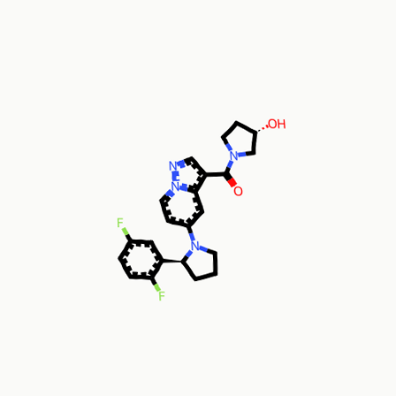 O=C(c1cnn2ccc(N3CCC[C@H]3c3cc(F)ccc3F)cc12)N1CC[C@H](O)C1